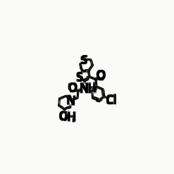 O=C(CN1CCCC(O)C1)Nc1sc2c(c1C(=O)c1cccc(Cl)c1)CCSC2